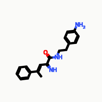 C/C(=C\C(=N)C(=O)NCCc1ccc(N)cc1)c1ccccc1